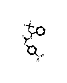 O=C(Oc1ccc([N+](=O)[O-])cc1)OC(SC(F)(F)F)c1ccccc1